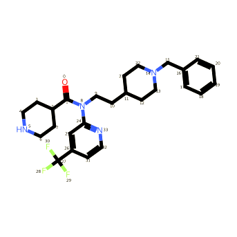 O=C(C1CCNCC1)N(CCC1CCN(Cc2ccccc2)CC1)c1cc(C(F)(F)F)ccn1